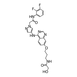 O=C(CO)NCCCOc1ccc2c(Nc3cnn(CC(=O)Nc4cccc(F)c4F)c3)ncnc2c1